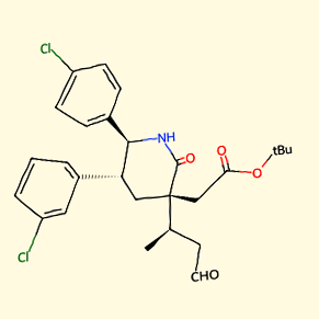 C[C@H](CC=O)[C@]1(CC(=O)OC(C)(C)C)C[C@H](c2cccc(Cl)c2)[C@@H](c2ccc(Cl)cc2)NC1=O